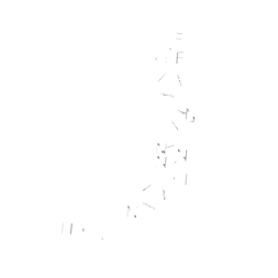 CSC1CCN(c2cccc(Cn3nc(-c4cc(-c5ccc(OC(F)(F)F)cc5)no4)nc3C)c2)CC1